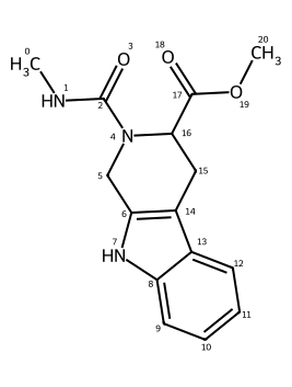 CNC(=O)N1Cc2[nH]c3ccccc3c2CC1C(=O)OC